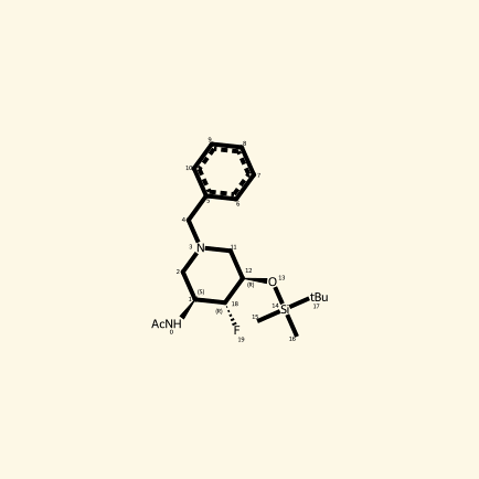 CC(=O)N[C@H]1CN(Cc2ccccc2)C[C@@H](O[Si](C)(C)C(C)(C)C)[C@@H]1F